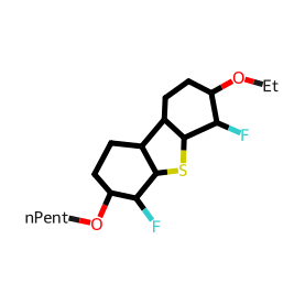 CCCCCOC1CCC2C3CCC(OCC)C(F)C3SC2C1F